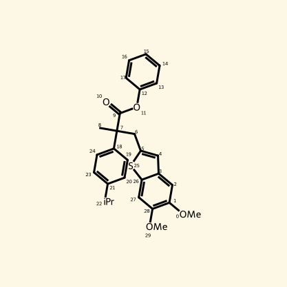 COc1cc2cc(CC(C)(C(=O)Oc3ccccc3)c3ccc(C(C)C)cc3)sc2cc1OC